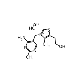 Cc1ncc(C[n+]2csc(CCO)c2C)c(N)n1.Cl.[Zn+2]